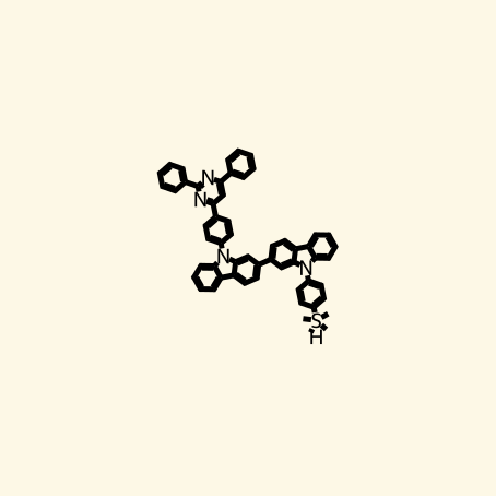 C[SH](C)(C)(C)c1ccc(-n2c3ccccc3c3ccc(-c4ccc5c6ccccc6n(-c6ccc(-c7cc(-c8ccccc8)nc(-c8ccccc8)n7)cc6)c5c4)cc32)cc1